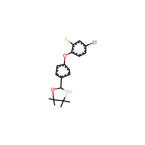 CC1(C)BC(c2ccc(Oc3ccc(Cl)cc3F)cc2)OC1(C)C